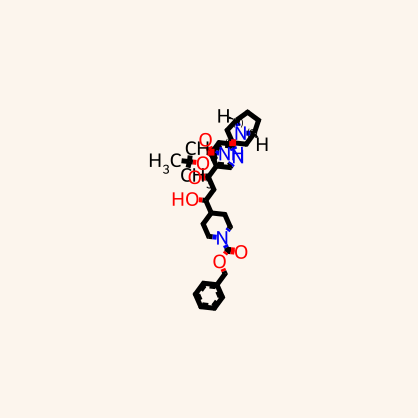 CC(C)(C)OC(=O)N[C@H]1C[C@H]2CC[C@@H](C1)N2c1ccc(C(=O)CC(O)C2CCN(C(=O)OCc3ccccc3)CC2)cn1